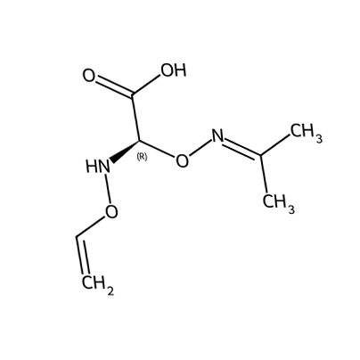 C=CON[C@H](ON=C(C)C)C(=O)O